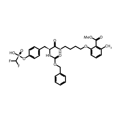 COC(=O)c1c(C)cccc1OCCCCNC(=O)[C@H](Cc1ccc(OP(=O)(O)C(F)F)cc1)NC(=O)OCc1ccccc1